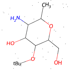 CC1OC(CO)C(OC(C)(C)C)C(O)C1N